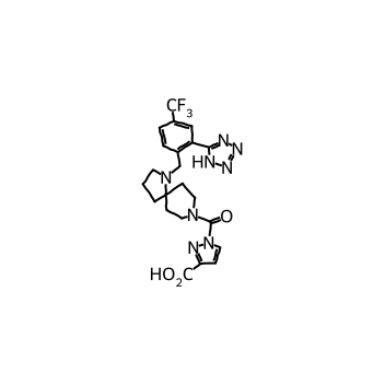 O=C(O)c1ccn(C(=O)N2CCC3(CCCN3Cc3ccc(C(F)(F)F)cc3-c3nnn[nH]3)CC2)n1